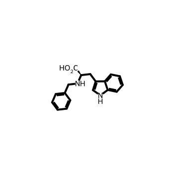 O=C(O)[C@@H](Cc1c[nH]c2ccccc12)NCc1ccccc1